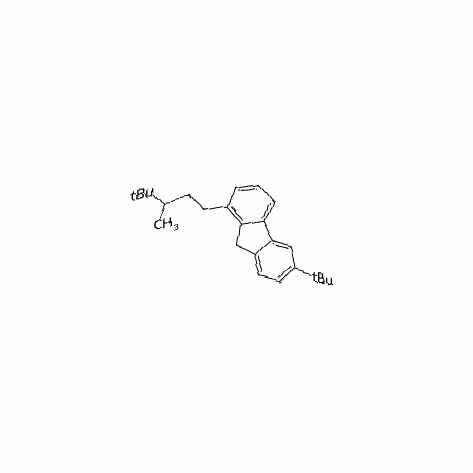 CC(CCc1cccc2c1Cc1ccc(C(C)(C)C)cc1-2)C(C)(C)C